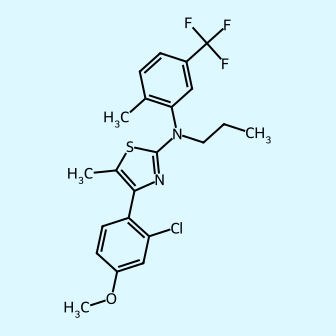 CCCN(c1nc(-c2ccc(OC)cc2Cl)c(C)s1)c1cc(C(F)(F)F)ccc1C